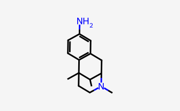 CC1C2Cc3cc(N)ccc3C1(C)CCN2C